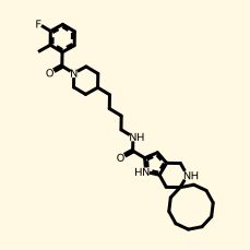 Cc1c(F)cccc1C(=O)N1CCC(CCCCNC(=O)c2cc3c([nH]2)CC2(CCCCCCCCC2)NC3)CC1